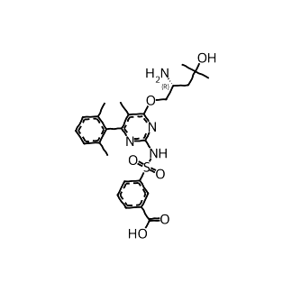 Cc1cccc(C)c1-c1nc(NS(=O)(=O)c2cccc(C(=O)O)c2)nc(OC[C@H](N)CC(C)(C)O)c1C